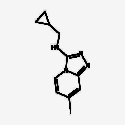 Ic1ccn2c(NCC3CC3)nnc2c1